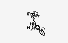 CC(C)[Si](OCCCNc1ccc(N2CCOCC2=O)cc1N)(C(C)C)C(C)C